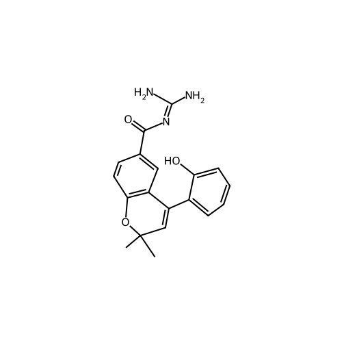 CC1(C)C=C(c2ccccc2O)c2cc(C(=O)N=C(N)N)ccc2O1